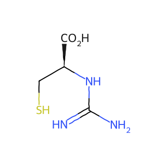 N=C(N)N[C@@H](CS)C(=O)O